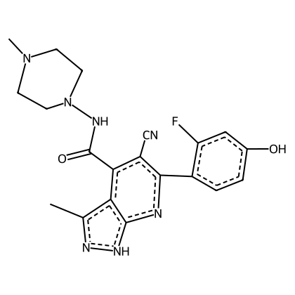 Cc1n[nH]c2nc(-c3ccc(O)cc3F)c(C#N)c(C(=O)NN3CCN(C)CC3)c12